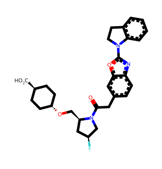 O=C(Cc1ccc2nc(N3CCc4ccccc43)oc2c1)N1C[C@@H](F)C[C@H]1CO[C@H]1CC[C@H](C(=O)O)CC1